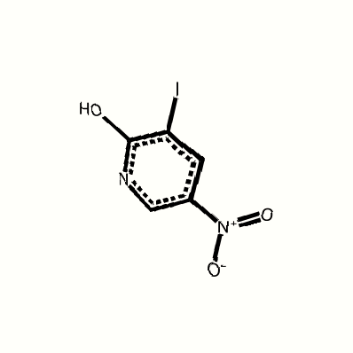 O=[N+]([O-])c1cnc(O)c(I)c1